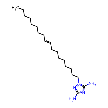 CCCCCCCCC=CCCCCCCCCn1nc(N)nc1N